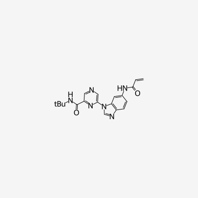 C=CC(=O)Nc1ccc2ncn(-c3cncc(C(=O)NC(C)(C)C)n3)c2c1